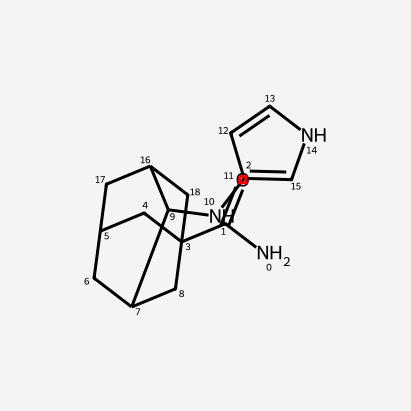 NC(=O)C12CC3CC(C1)C(Nc1cc[nH]c1)C(C3)C2